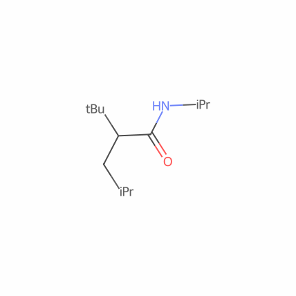 CC(C)CC(C(=O)NC(C)C)C(C)(C)C